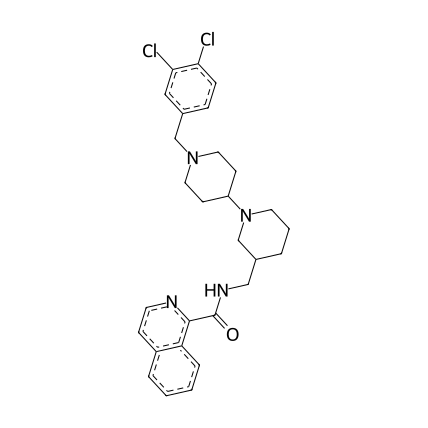 O=C(NCC1CCCN(C2CCN(Cc3ccc(Cl)c(Cl)c3)CC2)C1)c1nccc2ccccc12